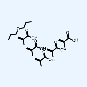 C=C(C)C(=O)O.C=C(C)C(=O)O.C=C(C)C(=O)O.C=C(C)C(=O)O.C=C(C)C(=O)O.CCCOCCC